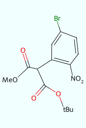 COC(=O)C(C(=O)OC(C)(C)C)c1cc(Br)ccc1[N+](=O)[O-]